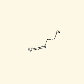 C=C=NCCC#N